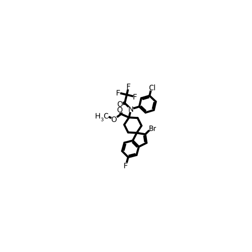 COC(=O)C1(N(C(=O)C(F)(F)F)c2cccc(Cl)c2)CCC2(CC1)C(Br)=Cc1cc(F)ccc12